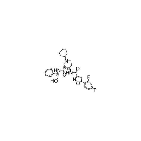 O=C(N[C@@H]1CCN(C2CCCCC2)C[C@H]1C(=O)N[C@H](CO)c1ccccc1)c1cc(-c2ccc(F)cc2F)on1